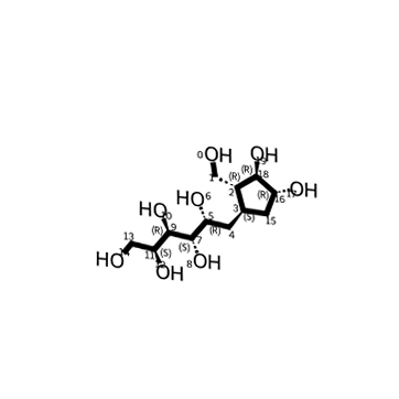 OC[C@H]1[C@H](C[C@@H](O)[C@H](O)[C@H](O)[C@@H](O)CO)C[C@@H](O)[C@@H]1O